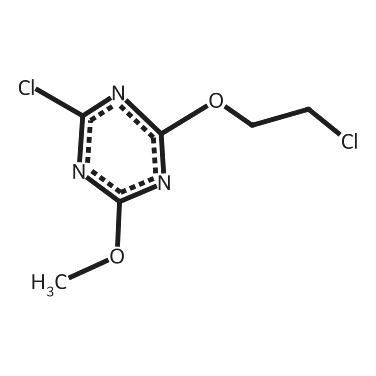 COc1nc(Cl)nc(OCCCl)n1